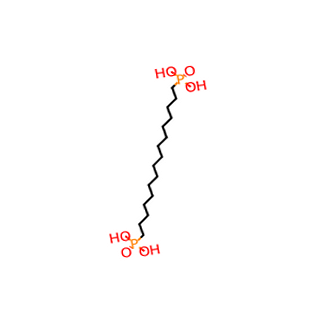 O=P(O)(O)CCCCCCCCCCCCCCCCP(=O)(O)O